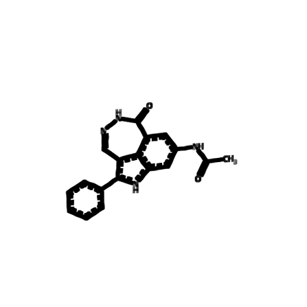 CC(=O)Nc1cc2c3c(c(-c4ccccc4)[nH]c3c1)C=NNC2=O